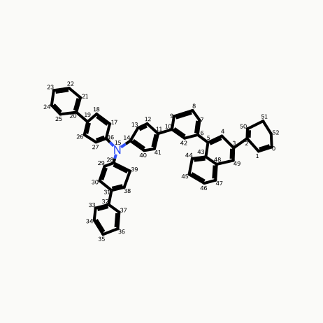 C1=CC(c2cc(-c3cccc(-c4ccc(N(c5ccc(-c6ccccc6)cc5)c5ccc(-c6ccccc6)cc5)cc4)c3)c3ccccc3c2)=CCC1